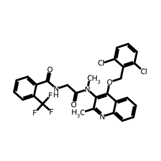 Cc1nc2ccccc2c(OCc2c(Cl)cccc2Cl)c1N(C)C(=O)CNC(=O)c1ccccc1C(F)(F)F